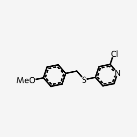 COc1ccc(CSc2ccnc(Cl)c2)cc1